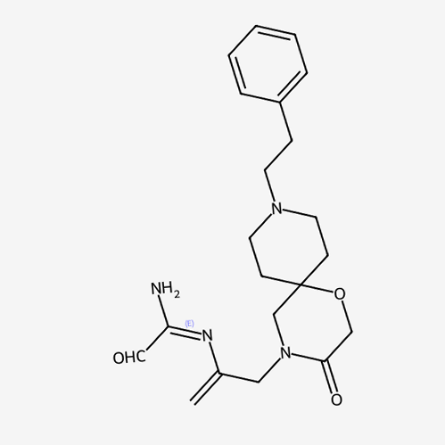 C=C(CN1CC2(CCN(CCc3ccccc3)CC2)OCC1=O)/N=C(/N)C=O